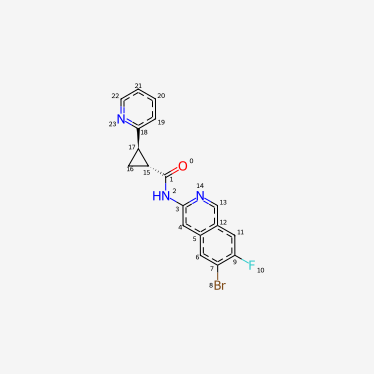 O=C(Nc1cc2cc(Br)c(F)cc2cn1)[C@@H]1C[C@H]1c1ccccn1